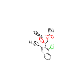 Cc1cc2ccccc2c(Cl)c1[C@H](COC(=O)C(C)(C)C)OC(C)(C)C